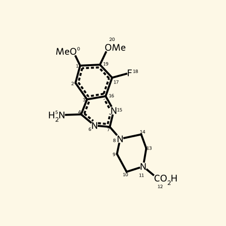 COc1cc2c(N)nc(N3CCN(C(=O)O)CC3)nc2c(F)c1OC